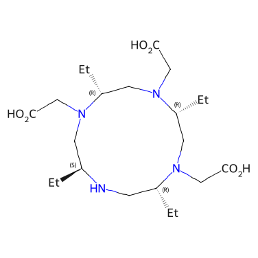 CC[C@H]1CN(CC(=O)O)[C@H](CC)CN(CC(=O)O)[C@H](CC)CN(CC(=O)O)[C@H](CC)CN1